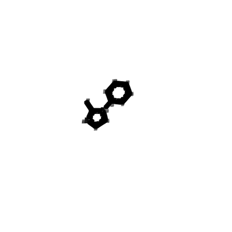 Cc1n[c]cn1-c1ccccc1